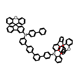 c1ccc(-c2ccc(N(c3cccc(-c4ccc(-c5cccc(-c6ccc(N(c7ccc8c(c7)C7(c9ccccc9Oc9ccccc97)c7ccccc7-8)c7ccccc7-c7ccccc7)cc6)c5)cc4)c3)c3ccc4c(c3)-c3ccccc3C43c4ccccc4Oc4ccccc43)cc2)cc1